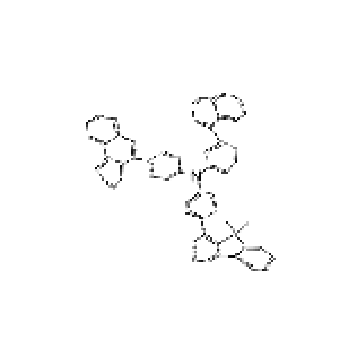 CC1(C)c2ccccc2-c2cccc(-c3ccc(N(c4ccc(-c5cc6ccccc6c6ccccc56)cc4)c4cccc(-c5cccc6ccccc56)c4)cc3)c21